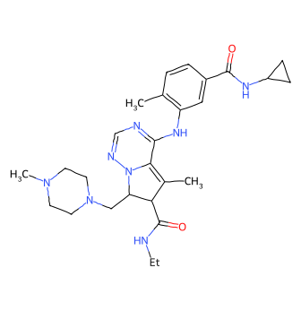 CCNC(=O)C1C(C)=C2C(Nc3cc(C(=O)NC4CC4)ccc3C)=NC=NN2C1CN1CCN(C)CC1